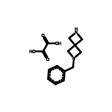 O=C(O)C(=O)O.c1ccc(CN2CC3(CNC3)C2)cc1